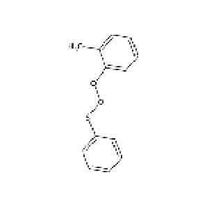 Cc1ccccc1OOSc1ccccc1